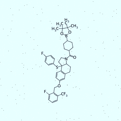 CC1(C)OB(C2CCC(C(=O)N3CCC4(Sc5ccc(F)cc5)c5ccc(OCc6c(F)cccc6C(F)(F)F)cc5CCC34)CC2)OC1(C)C